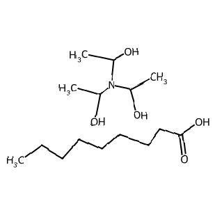 CC(O)N(C(C)O)C(C)O.CCCCCCCCC(=O)O